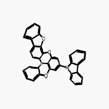 c1ccc2c(c1)Oc1cc(-n3c4ccccc4c4ccccc43)cc3c1B2c1ccc2c(oc4ccccc42)c1O3